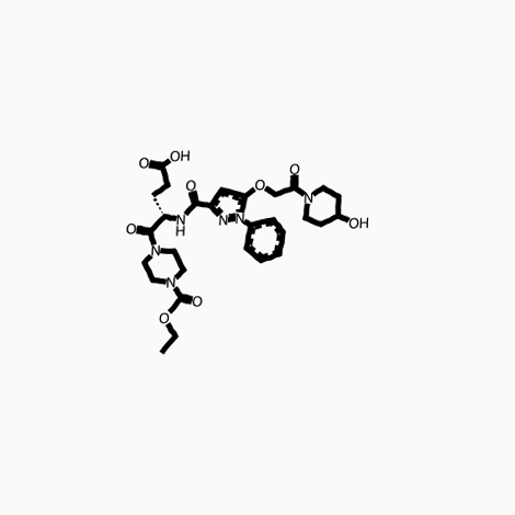 CCOC(=O)N1CCN(C(=O)[C@H](CCC(=O)O)NC(=O)c2cc(OCC(=O)N3CCC(O)CC3)n(-c3ccccc3)n2)CC1